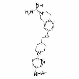 CC(=O)Nc1ccc(N2CCC(COc3ccc4c(c3)CN(C(=N)N)CC4)CC2)nc1